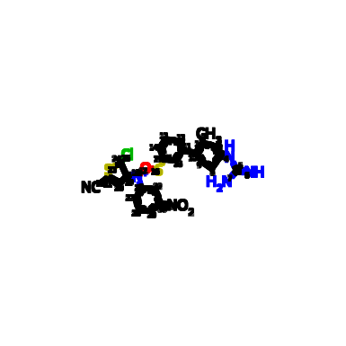 Cc1cc(NC(=N)N)ccc1-c1cccc(SO[N+](=C2C=C(C#N)SC2Cl)c2cccc([N+](=O)[O-])c2)c1